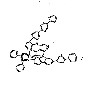 N#Cc1ccccc1-c1c(-n2c3cc(-c4ccc(-c5ccccc5)nc4)ccc3c3ccc(-c4ccc(-c5ccccc5)nc4)cc32)cncc1-n1c2cc(-c3ccc(-c4ccccc4)nc3)ccc2c2ccc(-c3ccc(-c4ccccc4)nc3)cc21